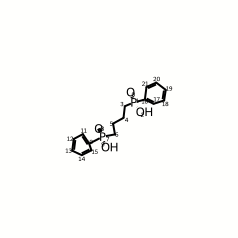 O=P(O)(CCCCP(=O)(O)c1ccccc1)c1ccccc1